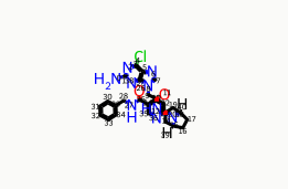 Nc1nc(Cl)c2ncn(CC(=O)N[C@H]3C[C@H]4CC[C@@H](C3)N4c3ccc(C(=O)NCc4ccccc4)cn3)c2n1